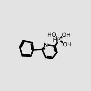 O[PH](O)(O)c1cccc(-c2ccccc2)n1